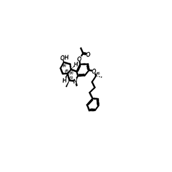 CC(=O)Oc1cc(O[C@H](C)CCCc2ccccc2)cc2c1[C@@H]1C[C@H](O)CC[C@H]1[C@H](C)N2C